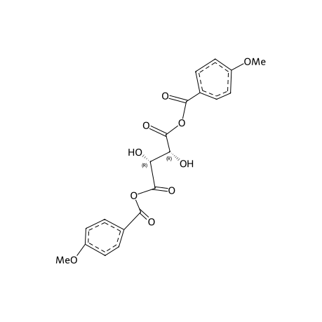 COc1ccc(C(=O)OC(=O)[C@H](O)[C@@H](O)C(=O)OC(=O)c2ccc(OC)cc2)cc1